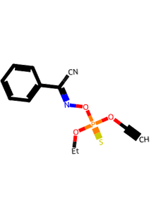 C#COP(=S)(OCC)O/N=C(\C#N)c1ccccc1